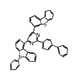 c1ccc(-c2ccc(-c3nc(-c4cccc5c4sc4ccccc45)cc(-c4cccc5c4c4ccccc4n5-c4ccccc4)n3)cc2)cc1